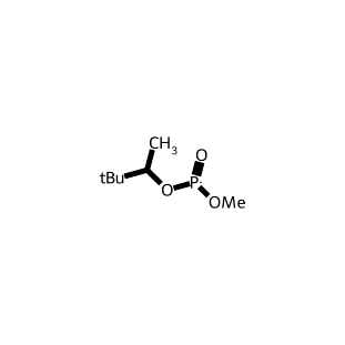 CO[P](=O)OC(C)C(C)(C)C